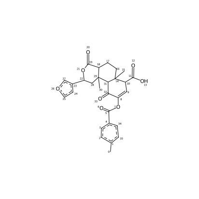 Cc1ccc(C(=O)OC2=CC(C(=O)O)C3(C)CCC4C(=O)OC(c5ccoc5)CC4(C)C3C2=O)cc1